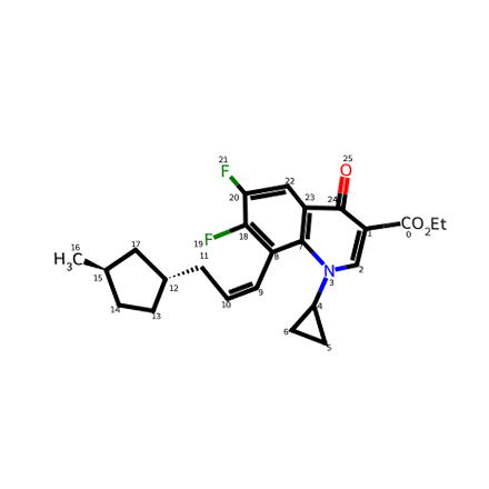 CCOC(=O)c1cn(C2CC2)c2c(/C=C\C[C@@H]3CC[C@@H](C)C3)c(F)c(F)cc2c1=O